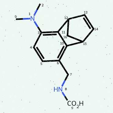 CN(C)c1ccc(CNC(=O)O)c2c1C1C=CC2C1